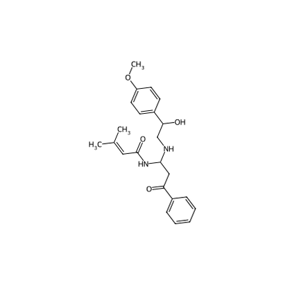 COc1ccc(C(O)CNC(CC(=O)c2ccccc2)NC(=O)C=C(C)C)cc1